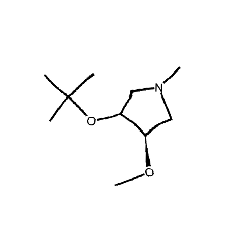 CO[C@@H]1CN(C)CC1OC(C)(C)C